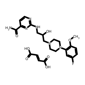 COc1ccc(F)cc1N1CCN(CC(O)CNc2nccc(C(N)=O)n2)CC1.O=C(O)/C=C/C(=O)O